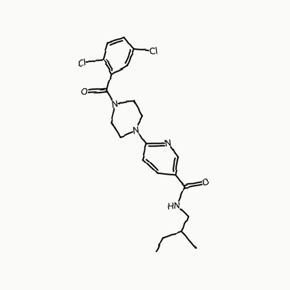 CCC(C)CNC(=O)c1ccc(N2CCN(C(=O)c3cc(Cl)ccc3Cl)CC2)nc1